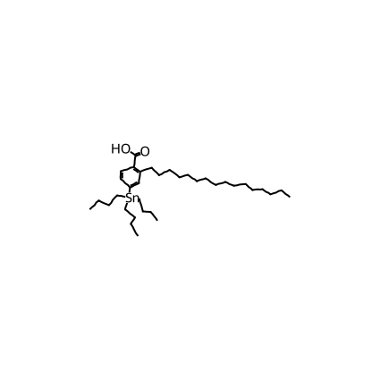 CCCCCCCCCCCCCCCCc1c[c]([Sn]([CH2]CCC)([CH2]CCC)[CH2]CCC)ccc1C(=O)O